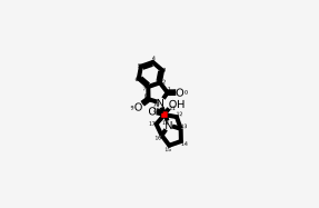 O=C1c2ccccc2C(=O)N1C1CC2CCC(C1)N2C(=O)O